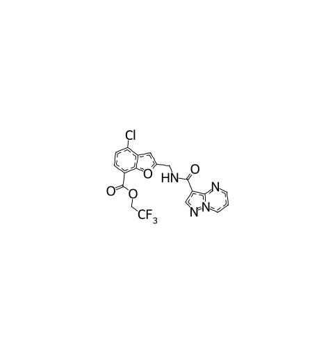 O=C(OCC(F)(F)F)c1ccc(Cl)c2cc(CNC(=O)c3cnn4cccnc34)oc12